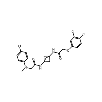 CN(CC(=O)NC12CC(NC(=O)COc3ccc(Cl)c(Cl)c3)(C1)C2)c1ccc(Cl)cc1